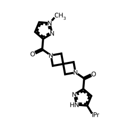 CC(C)c1cc(C(=O)N2CC3(C2)CN(C(=O)c2ccn(C)n2)C3)n[nH]1